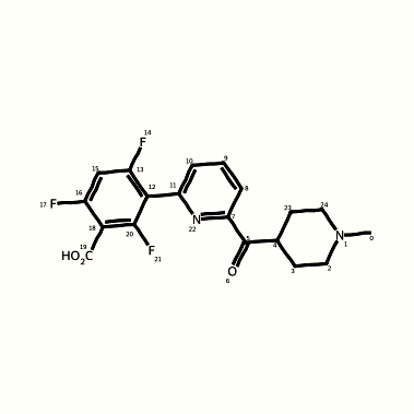 CN1CCC(C(=O)c2cccc(-c3c(F)cc(F)c(C(=O)O)c3F)n2)CC1